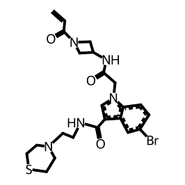 C=CC(=O)N1CC(NC(=O)Cn2cc(C(=O)NCCN3CCSCC3)c3cc(Br)ccc32)C1